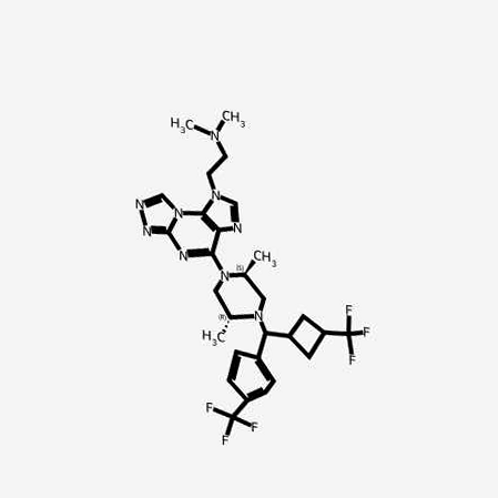 C[C@@H]1CN(c2nc3nncn3c3c2ncn3CCN(C)C)[C@@H](C)CN1C(c1ccc(C(F)(F)F)cc1)C1CC(C(F)(F)F)C1